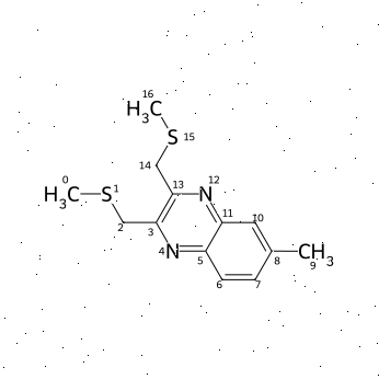 CSCc1nc2ccc(C)cc2nc1CSC